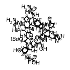 CC(C)C[C@H](NC(=O)[C@@H](COC(C)(C)C)NC(=O)[C@H](Cc1ccc(O)cc1)NC(=O)[C@H](CO)NC(=O)[C@H](Cc1c[nH]c2ccccc12)NC(=O)[C@H](Cc1c[nH]cn1)NC(=O)[C@@H]1CCC(=O)N1)C(=O)N[C@@H](CCCNC(=N)N)C(=O)N1CCC[C@H]1C(=O)NNC(N)=O.O=C(O)C(F)(F)F